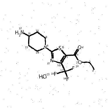 CCOC(=O)c1sc(N2CCC(N)CC2)nc1C(F)(F)F.Cl